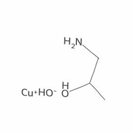 CC(O)CN.[Cu+].[OH-]